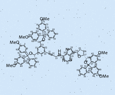 COc1ccc(C(OCc2cc(C#CCNc3ncnc4c3ncn4[C@H]3C[CH][C@H](COC(c4ccccc4)(c4ccc(OC)cc4)c4ccc(OC)cc4)O3)cc(COC(c3ccccc3)(c3ccc(OC)cc3)c3ccc(OC)cc3)c2)(c2ccccc2)c2ccc(OC)cc2)cc1